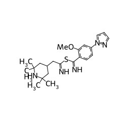 COc1cc(-n2cccn2)ccc1C(=N)SC(=N)CC1CC(C)(C)NC(C)(C)C1